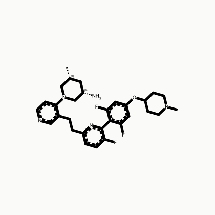 C[C@@H]1C[C@H](N)CN(c2ccncc2CCc2ccc(F)c(-c3c(F)cc(OC4CCN(C)CC4)cc3F)n2)C1